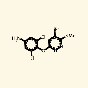 CNc1nnc(Oc2c(Cl)cc(N)cc2Cl)cc1C(C)C